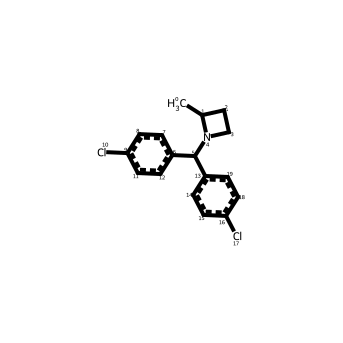 CC1[CH]CN1C(c1ccc(Cl)cc1)c1ccc(Cl)cc1